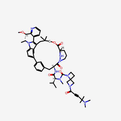 CCn1c(-c2cccnc2[C@H](C)OC)c2c3cc(ccc31)-c1cccc(c1)C[C@H](NC(=O)[C@H](C(C)C)N(C)C(=O)N1CCC13CN(C(=O)C#CC(C)(C)N(C)C)C3)C(=O)N1CCC[C@H](N1)C(=O)OCC(C)(C)C2